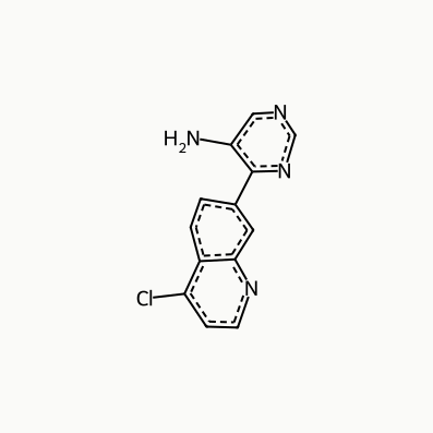 Nc1cncnc1-c1ccc2c(Cl)ccnc2c1